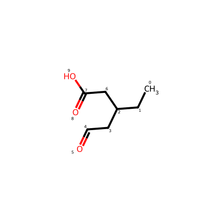 CCC(CC=O)CC(=O)O